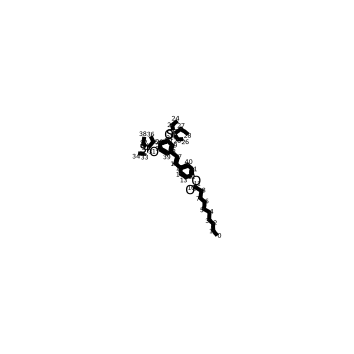 CCCCCCCCCC(=O)Oc1ccc(/C=C/c2cc(O[Si](CC)(CC)CC)cc(O[Si](CC)(CC)CC)c2)cc1